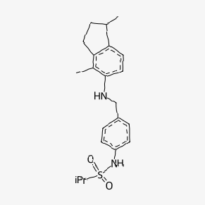 Cc1c(NCc2ccc(NS(=O)(=O)C(C)C)cc2)ccc2c1CCC2C